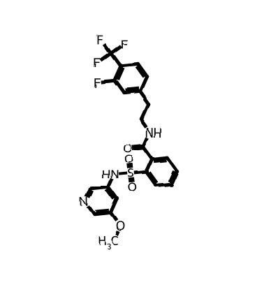 COc1cncc(NS(=O)(=O)c2ccccc2C(=O)NCCc2ccc(C(F)(F)F)c(F)c2)c1